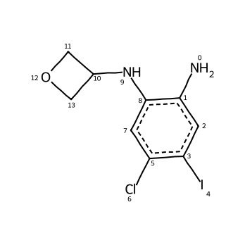 Nc1cc(I)c(Cl)cc1NC1COC1